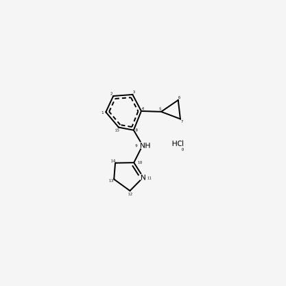 Cl.c1ccc(C2CC2)c(NC2=NCCC2)c1